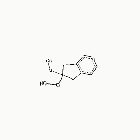 OOC1(OO)Cc2ccccc2C1